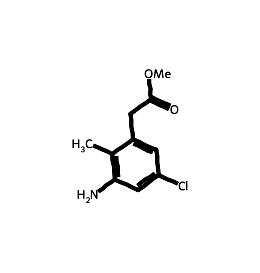 COC(=O)Cc1cc(Cl)cc(N)c1C